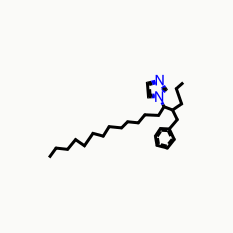 CCCCCCCCCCCCCC(C(CCC)Cc1ccccc1)n1ccnc1